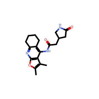 Cc1oc2nc3c(c(NC(=O)CC4CNC(=O)C4)c2c1C)CCCC3